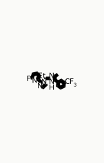 CCC(c1nc(C)c(-c2cccc(C(F)(F)F)c2)[nH]1)n1ccnc1-c1cccc(F)n1